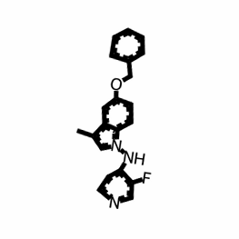 Cc1cn(Nc2ccncc2F)c2ccc(OCc3ccccc3)cc12